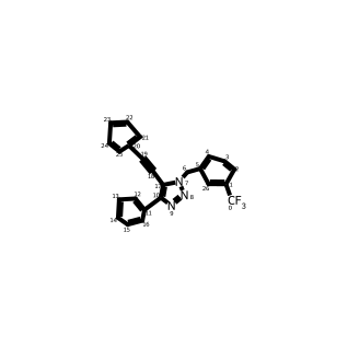 FC(F)(F)c1cccc(Cn2nnc(-c3ccccc3)c2C#Cc2ccccc2)c1